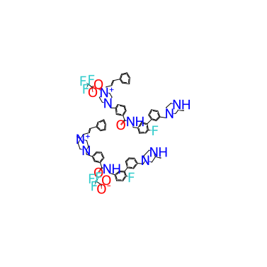 C[C@H]1CN(Cc2cccc(-c3cc(CNC(=O)c4cccc(CN5CC[N+](C)(C/C=C/c6ccccc6)CC5)c4)ccc3F)c2)CCN1.C[C@H]1CN(Cc2cccc(-c3cc(CNC(=O)c4cccc(CN5CC[N+](C)(C/C=C/c6ccccc6)CC5)c4)ccc3F)c2)CCN1.O=C([O-])C(F)(F)F.O=C([O-])C(F)(F)F